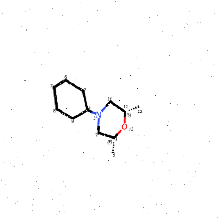 C[C@@H]1CN(C2CCCCC2)C[C@H](C)O1